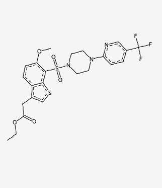 CCOC(=O)Cc1csc2c(S(=O)(=O)N3CCN(c4ccc(C(F)(F)F)cn4)CC3)c(OC)ccc12